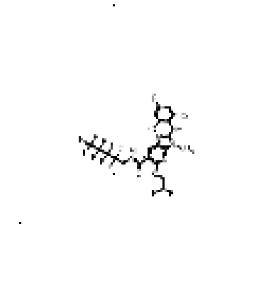 Cn1c(Nc2c(Cl)cc(F)cc2Cl)nc2cc(C(=O)NCC(F)(F)C(F)(F)C(F)(F)C(F)(F)F)c(OCC(F)F)nc21